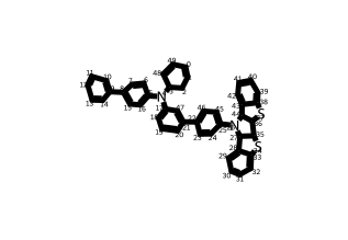 C1=CCC(N(c2ccc(-c3ccccc3)cc2)c2cccc(-c3ccc(N4C5c6ccccc6SC5C5Sc6ccccc6C54)cc3)c2)C=C1